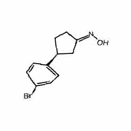 ON=C1CC[C@H](c2ccc(Br)cc2)C1